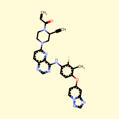 C#CC1CN(c2ccc3ncnc(Nc4ccc(Oc5ccn6ncnc6c5)c(C)c4F)c3n2)CCN1C(=O)C=C